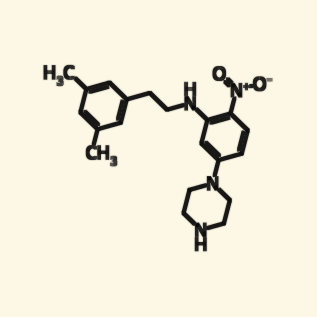 Cc1cc(C)cc(CCNc2cc(N3CCNCC3)ccc2[N+](=O)[O-])c1